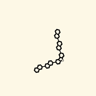 c1ccc2cc(-c3ccc4cc(-c5ccc6oc7ccc(-c8ccc9cc(-c%10ccc%11ccccc%11c%10)ccc9c8)cc7c6c5)ccc4c3)ccc2c1